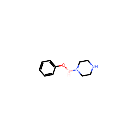 B(Oc1ccccc1)N1CCNCC1